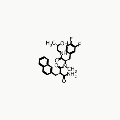 C[C@H](O)CNC(=O)[C@@H](Cc1ccc(F)c(F)c1)N(C)C(=O)[C@H](Cc1ccc2ccccc2c1)C(N)=O